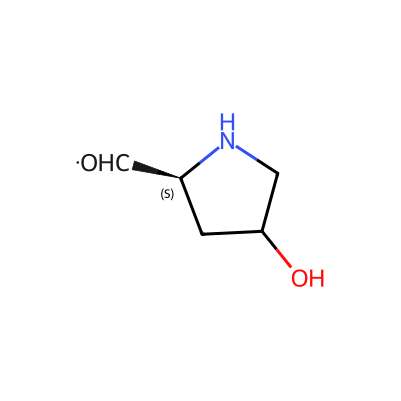 O=[C][C@@H]1CC(O)CN1